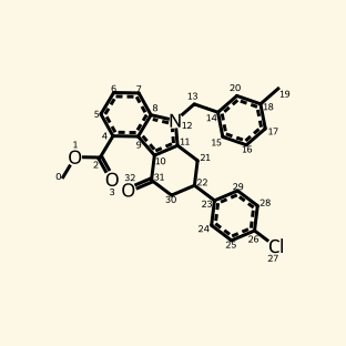 COC(=O)c1cccc2c1c1c(n2Cc2cccc(C)c2)CC(c2ccc(Cl)cc2)CC1=O